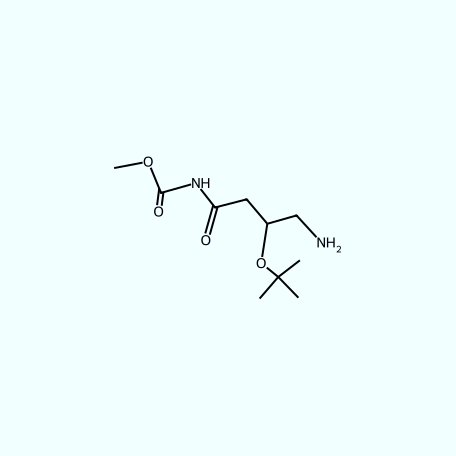 COC(=O)NC(=O)CC(CN)OC(C)(C)C